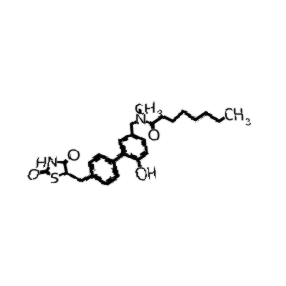 CCCCCCCC(=O)N(C)Cc1ccc(O)c(-c2ccc(CC3SC(=O)NC3=O)cc2)c1